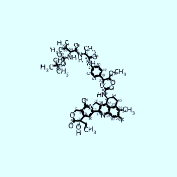 CC[C@@]1(O)C(=O)OCc2c1cc1n(c2=O)Cc2c-1nc1cc(F)c(C)c3c1c2[C@@H](NC(=O)OC(C(=O)OC)c1ccc(NC(=O)[C@H](C)NC(=O)[C@@H](NC(=O)OC(C)(C)C)C(C)C)cc1)CC3